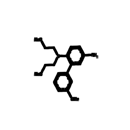 COCCN(CCOC)c1ccc(N)cc1-c1cccc(OC)c1